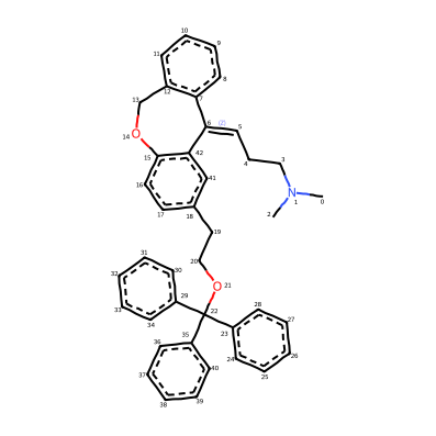 CN(C)CC/C=C1/c2ccccc2COc2ccc(CCOC(c3ccccc3)(c3ccccc3)c3ccccc3)cc21